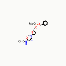 COP(OCc1ccccc1)OCC1CCC(N(C)/C=C\C(=O)NC=O)O1